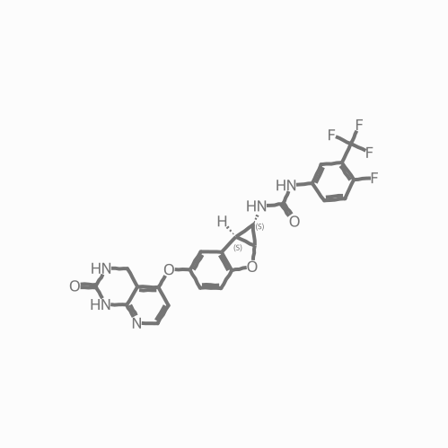 O=C1NCc2c(Oc3ccc4c(c3)[C@@H]3C(O4)[C@H]3NC(=O)Nc3ccc(F)c(C(F)(F)F)c3)ccnc2N1